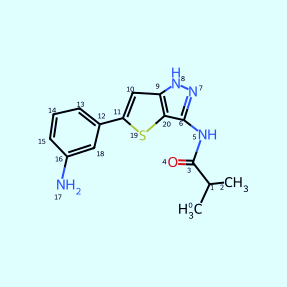 CC(C)C(=O)Nc1n[nH]c2cc(-c3cccc(N)c3)sc12